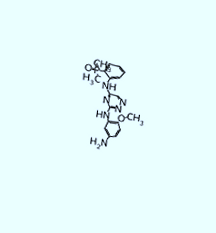 COc1ccc(N)cc1Nc1nncc(Nc2ccccc2P(C)(C)=O)n1